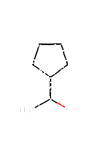 BC(O)C1CCCC1